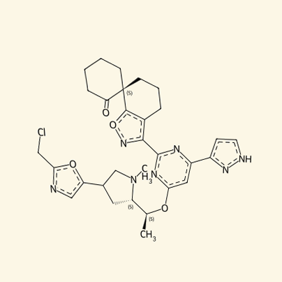 C[C@H](Oc1cc(-c2cc[nH]n2)nc(-c2noc3c2CCC[C@@]32CCCCC2=O)n1)[C@@H]1CC(c2cnc(CCl)o2)CN1C